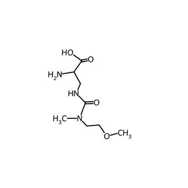 COCCN(C)C(=O)NCC(N)C(=O)O